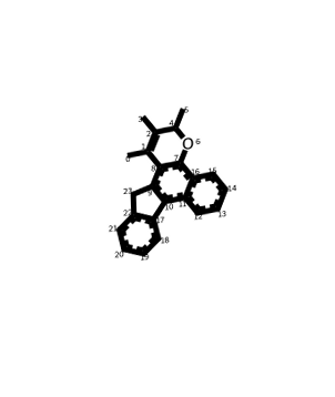 CC1=C(C)C(C)Oc2c1c1c(c3ccccc23)-c2ccccc2C1